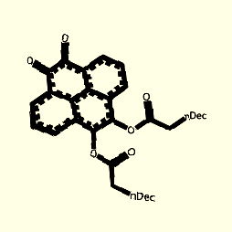 CCCCCCCCCCCC(=O)Oc1c(OC(=O)CCCCCCCCCCC)c2cccc3c(=O)c(=O)c4cccc1c4c23